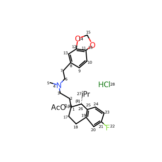 CC(=O)O[C@@]1(CCN(C)CCc2ccc3c(c2)OCO3)CCc2cc(F)ccc2[C@H]1C(C)C.Cl